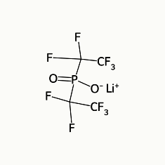 O=P([O-])(C(F)(F)C(F)(F)F)C(F)(F)C(F)(F)F.[Li+]